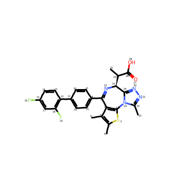 Cc1sc2c(c1C)C(c1ccc(-c3ccc(F)cc3F)cc1)=N[C@@H](C(C)C(=O)O)c1nnc(C)n1-2